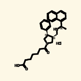 C[C@@H](NC[C@@H]1CN(C(=O)CCCCCC(=O)O)C[C@@H]1c1ccccc1)c1cccc2ccccc12.Cl